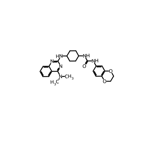 CN(C)c1nc(NC2CCC(NC(=O)Nc3ccc4c(c3)OCCO4)CC2)nc2ccccc12